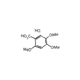 COc1cc(OC)c(C(=O)O)cc1OC.Cl